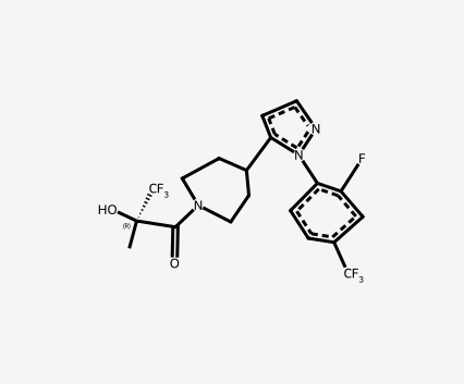 C[C@@](O)(C(=O)N1CCC(c2ccnn2-c2ccc(C(F)(F)F)cc2F)CC1)C(F)(F)F